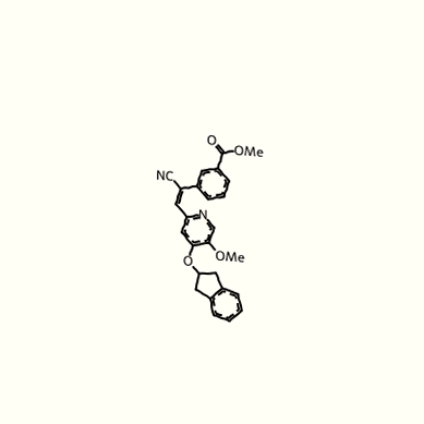 COC(=O)c1cccc(C(C#N)=Cc2cc(OC3Cc4ccccc4C3)c(OC)cn2)c1